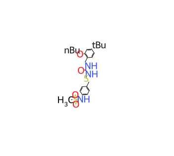 CCCCOc1cc(C(C)(C)C)ccc1CNC(=O)NSCc1ccc(NS(C)(=O)=O)cc1